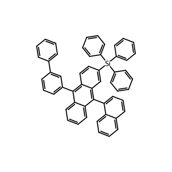 c1ccc(-c2cccc(-c3c4ccccc4c(-c4cccc5ccccc45)c4cc([Si](c5ccccc5)(c5ccccc5)c5ccccc5)ccc34)c2)cc1